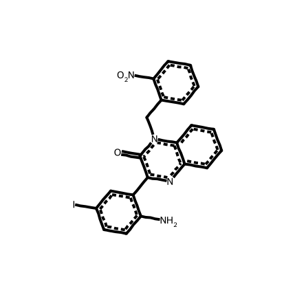 Nc1ccc(I)cc1-c1nc2ccccc2n(Cc2ccccc2[N+](=O)[O-])c1=O